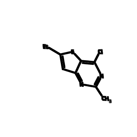 CCc1cc2nc(C)nc(Cl)c2s1